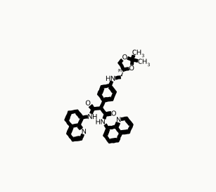 CC1(C)OC[C@@H](CNc2ccc(C(C(=O)Nc3cccc4cccnc34)C(=O)Nc3cccc4cccnc34)cc2)O1